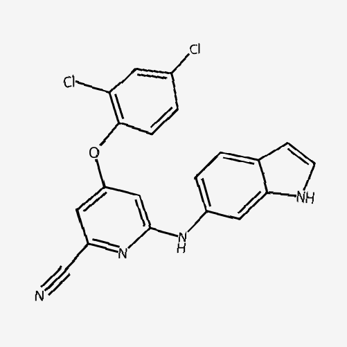 N#Cc1cc(Oc2ccc(Cl)cc2Cl)cc(Nc2ccc3cc[nH]c3c2)n1